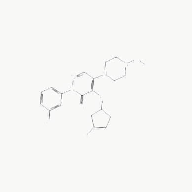 CCSN1CCN(c2cnn(-c3cccc(Cl)c3)c(=O)c2OC2CCC(C)C2)CC1